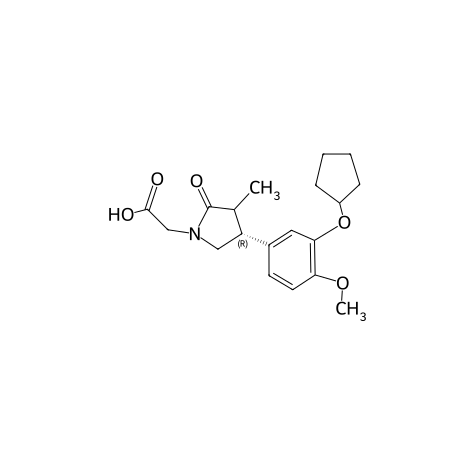 COc1ccc([C@@H]2CN(CC(=O)O)C(=O)C2C)cc1OC1CCCC1